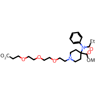 CCC(=O)N(c1ccccc1)C1(C(=O)OC)CCN(CCOCCOCCOCCC(=O)O)CC1